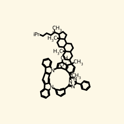 CC(C)CCC[C@@H](C)C1CCC2C3CCC4CC(C5(C)C=CC6(C)C7=C5C(C)C=C(C7C)n5c7ccccc7c7cc8c9ccccc9n(c8cc75)-c5cccc(c5)-c5nc(-c7ccccc7)nc6n5)CCC4(C)C3CCC21C